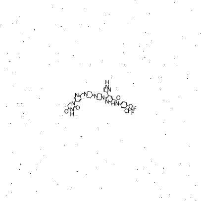 O=C1CCN(c2ccc(CN3CCC(N4CCN(c5ncc(C(=O)Nc6ccc(OC(F)(F)Cl)cc6)cc5-c5cc[nH]n5)CC4)CC3)nc2)C(=O)N1